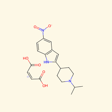 CC(C)N1CCC(c2cc3cc([N+](=O)[O-])ccc3[nH]2)CC1.O=C(O)/C=C\C(=O)O